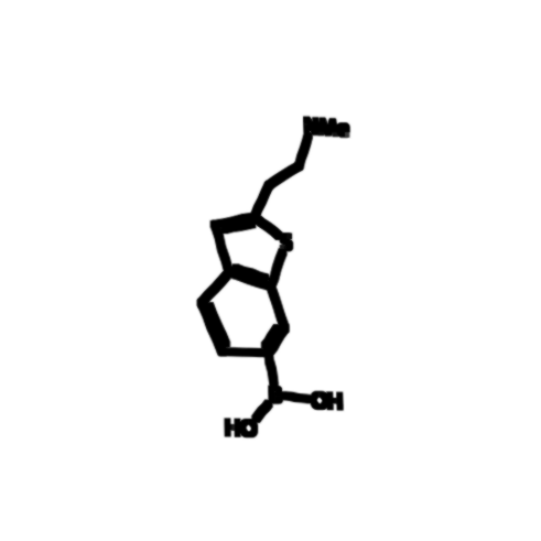 CNCCc1cc2ccc(B(O)O)cc2s1